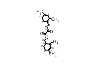 CC1=CC(C)C(COC(=O)C(=O)OCC2CCC(C)=CC2C)CC1